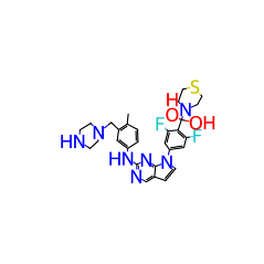 Cc1ccc(Nc2ncc3ccn(-c4cc(F)c(C(O)(O)N5CCSCC5)c(F)c4)c3n2)cc1CN1CCNCC1